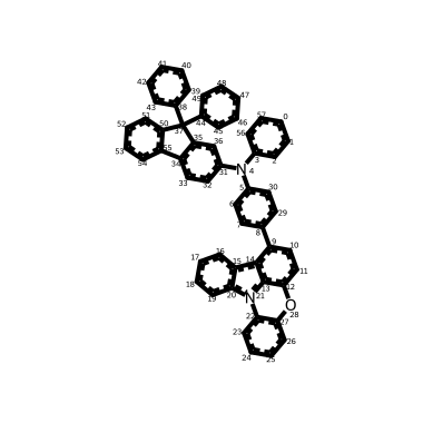 c1ccc(N(c2ccc(-c3ccc4c5c3c3ccccc3n5-c3ccccc3O4)cc2)c2ccc3c(c2)C(c2ccccc2)(c2ccccc2)c2ccccc2-3)cc1